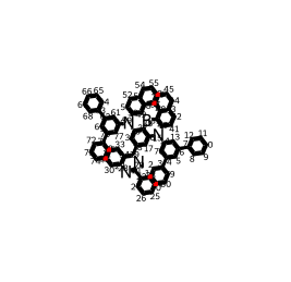 c1ccc(-c2cc(-c3ccccc3)cc(N3c4cc(-c5nc(-c6ccccc6)nc6ccccc56)cc5c4B(c4c3ccc3ccccc43)c3c(ccc4ccccc34)N5c3cc(-c4ccccc4)cc(-c4ccccc4)c3)c2)cc1